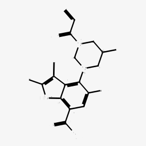 C=CC(=O)N1CC(C)CN(c2c(F)cc(C(N)=O)c3[nH]c(C)c(C)c23)C1